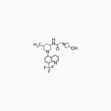 C[C@H]1C[C@@H](NC(=O)CN2CC(O)C2)CN(c2ccc(C(F)(F)F)c3ncccc23)C1